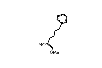 COC=C(C#N)CCCCc1ccccc1